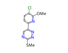 COc1nc(-c2cnc(SC)nn2)ccc1Cl